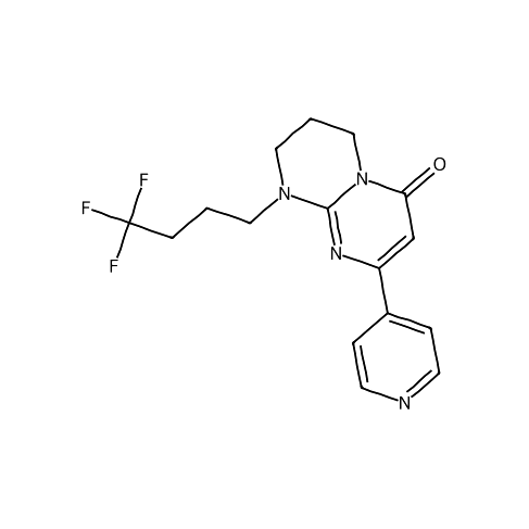 O=c1cc(-c2ccncc2)nc2n1CCCN2CCCC(F)(F)F